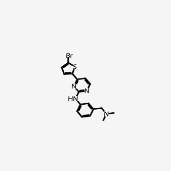 CN(C)Cc1cccc(Nc2nccc(-c3ccc(Br)s3)n2)c1